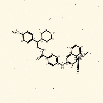 COc1ccc(C(CNC(=O)c2ccc(NC3=NCC45CC(=O)CCN(Cl)C4=CC=CC5=N3)cc2)N2CCOCC2)cc1